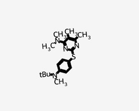 Cc1nc(Sc2ccc(N(C)C(C)(C)C)cc2)nc(N(C)C)c1C